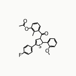 COc1ccccc1C1SC(c2ccc(F)cc2)=CC1C(=O)c1cccc(OC(C)=O)c1C